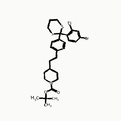 CC(C)(C)OC(=O)N1CCC(CCc2ccc(C3(c4ccc(Br)cc4Cl)SCCCS3)cc2)CC1